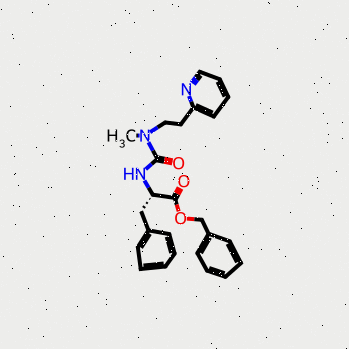 CN(CCc1ccccn1)C(=O)N[C@@H](Cc1ccccc1)C(=O)OCc1ccccc1